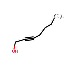 O=C(O)CCCC#CCO